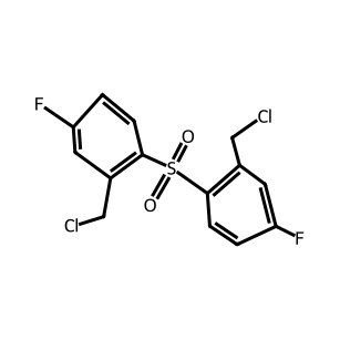 O=S(=O)(c1ccc(F)cc1CCl)c1ccc(F)cc1CCl